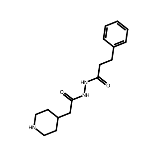 O=C(CCc1ccccc1)NNC(=O)CC1CCNCC1